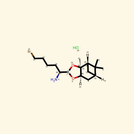 CC1(C)[C@@H]2C[C@H]3OB([C@@H](N)CCCCBr)O[C@@]3(C)[C@H]1C2.Cl